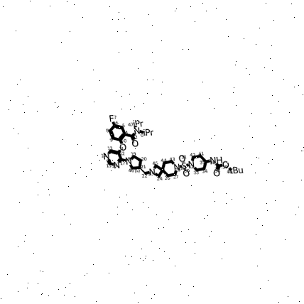 CC(C)N(C(=O)c1cc(F)ccc1Oc1cncnc1N1CC[C@@H](CN2CC3(CCN(S(=O)(=O)N4CCC(NC(=O)OC(C)(C)C)CC4)CC3)C2)C1)C(C)C